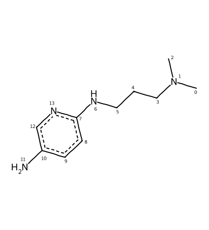 CN(C)CCCNc1ccc(N)cn1